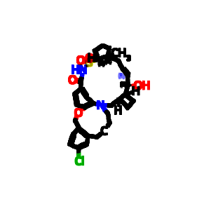 C[C@@]12C/C=C/[C@H](O)[C@@H]3CC[C@H]3CN3CCCCc4cc(Cl)ccc4COc4ccc(cc43)C(=O)NS(=O)(=O)[C@H]1CCC2